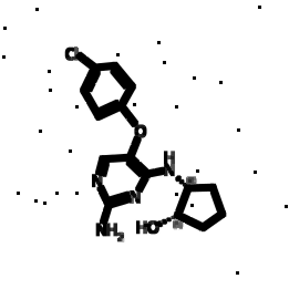 Nc1ncc(Oc2ccc(Cl)cc2)c(N[C@@H]2CCC[C@@H]2O)n1